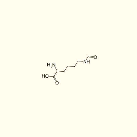 NC(CCCCNC=O)C(=O)O